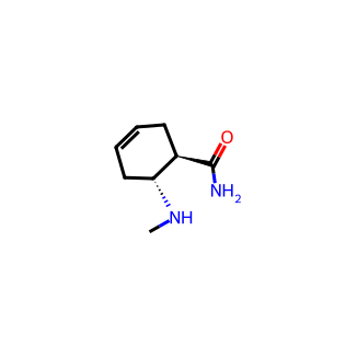 CN[C@@H]1CC=CC[C@H]1C(N)=O